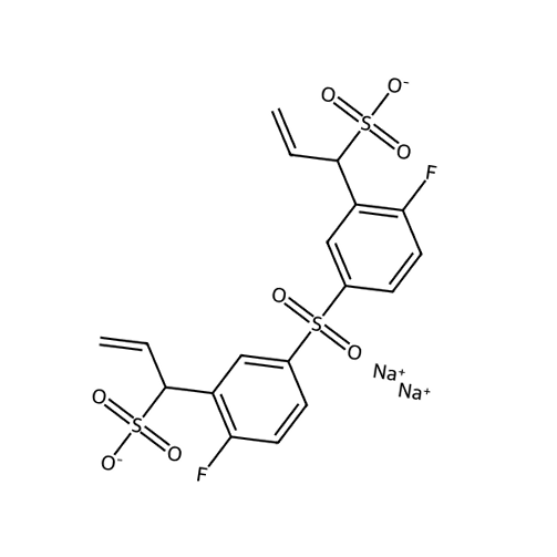 C=CC(c1cc(S(=O)(=O)c2ccc(F)c(C(C=C)S(=O)(=O)[O-])c2)ccc1F)S(=O)(=O)[O-].[Na+].[Na+]